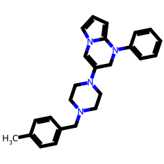 Cc1ccc(CN2CCN(C3=Cn4cccc4N(c4ccccc4)C3)CC2)cc1